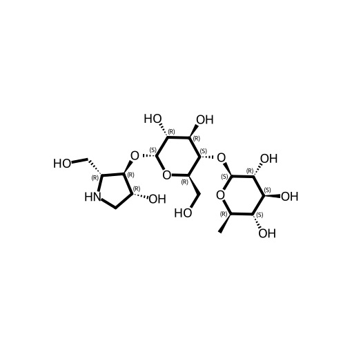 C[C@H]1O[C@@H](O[C@H]2[C@H](O)[C@@H](O)[C@@H](O[C@H]3[C@H](O)CN[C@@H]3CO)O[C@@H]2CO)[C@H](O)[C@@H](O)[C@@H]1O